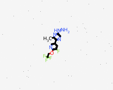 Cc1nc(NN)cnc1-c1cnc(OCC(F)(F)F)c(F)c1